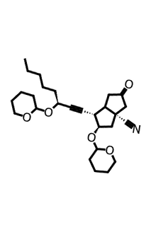 CCCCC[C@@H](C#C[C@@H]1C2CC(=O)C[C@@]2(C#N)C[C@H]1OC1CCCCO1)OC1CCCCO1